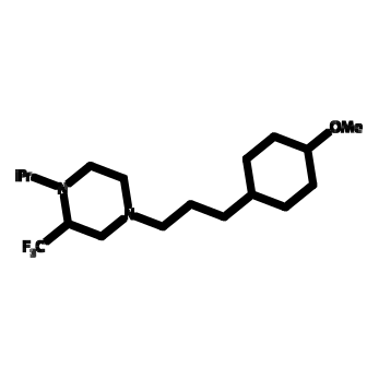 COC1CCC(CCCN2CCN(C(C)C)C(C(F)(F)F)C2)CC1